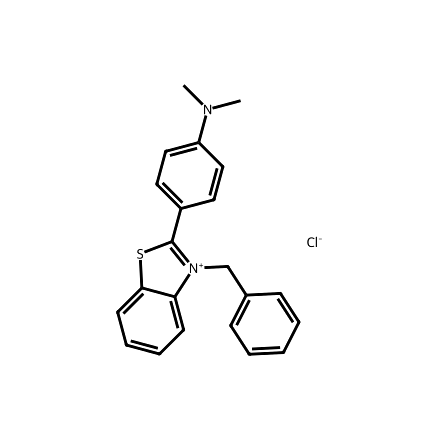 CN(C)c1ccc(-c2sc3ccccc3[n+]2Cc2ccccc2)cc1.[Cl-]